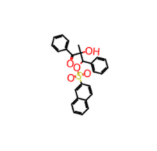 CC(O)(C(=O)c1ccccc1)C(OS(=O)(=O)c1ccc2ccccc2c1)c1ccccc1